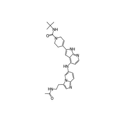 CC(=O)NCCc1cnc2ccc(Nc3ccnc4[nH]c(C5=CCN(C(=O)NC(C)(C)C)CC5)cc34)cn12